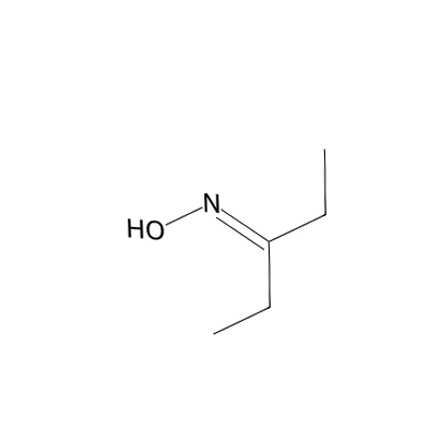 CCC(CC)=NO